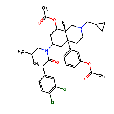 CC(=O)Oc1cccc([C@@]23CCN(CC4CC4)C[C@H]2C(OC(C)=O)C[C@@H](N(CC(C)C)C(=O)Cc2ccc(Cl)c(Cl)c2)C3)c1